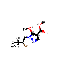 CC(=O)NC(C)(C)C(Br)Cn1ncc(C(=O)OC(C)C)c1OC(C)C